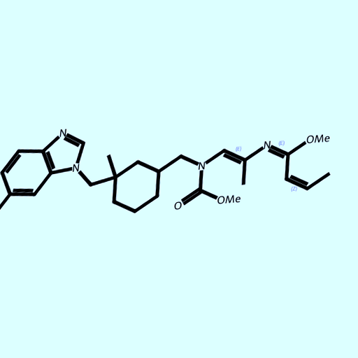 C\C=C/C(=N\C(C)=C\N(CC1CCCC(C)(Cn2cnc3ccc(C#N)cc32)C1)C(=O)OC)OC